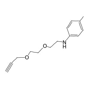 C#CCOCCOCCNc1ccc(C)cc1